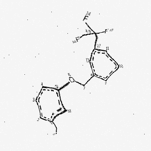 Cc1cccc(OCc2cccc(C(F)(F)F)c2)c1